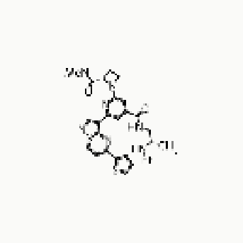 CCN[C@@H](C)CNC(=O)c1cc(-c2cnn3ccc(-c4cccs4)nc23)nc(N2CC[C@H]2C(=O)NC)c1